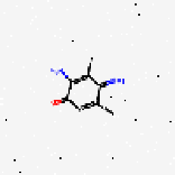 CC1=CC(=O)C(N)=C(C)C1=N